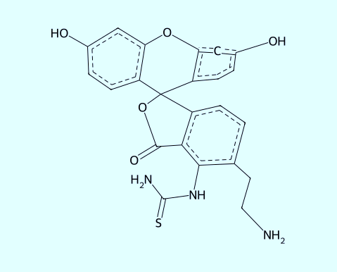 NCCc1ccc2c(c1NC(N)=S)C(=O)OC21c2ccc(O)cc2Oc2cc(O)ccc21